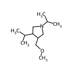 COCC1CN(C(C)C)CC1C(C)C